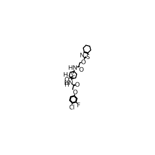 O=C(COc1nc2c(s1)CCCC2)NC12CCC(NC(=O)COc3ccc(Cl)c(F)c3)(CC1)[C@@H](O)C2